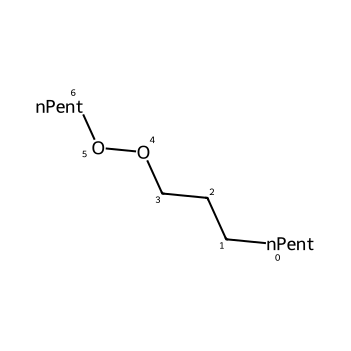 CCCCCCCCOOCCCCC